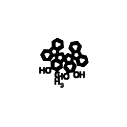 Cc1cc2c(cc1O)C1(CC23CC2(c4ccccc4-c4ccccc42)c2cc(O)c(O)cc23)c2ccccc2-c2ccccc21